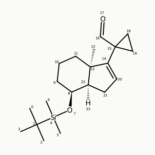 CC(C)(C)[Si](C)(C)O[C@H]1CCC[C@@]2(C)C(C3(C=O)CC3)=CC[C@@H]12